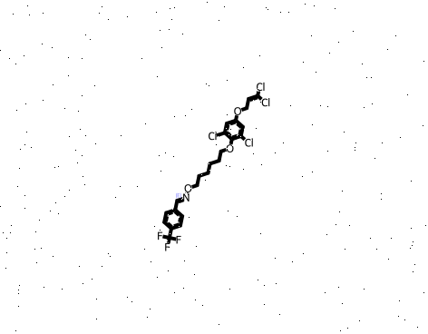 FC(F)(F)c1ccc(/C=N/OCCCCCCOc2c(Cl)cc(OCC=C(Cl)Cl)cc2Cl)cc1